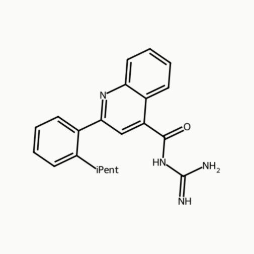 CCCC(C)c1ccccc1-c1cc(C(=O)NC(=N)N)c2ccccc2n1